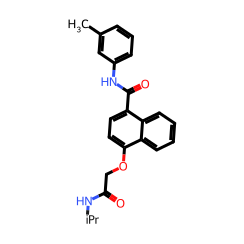 Cc1cccc(NC(=O)c2ccc(OCC(=O)NC(C)C)c3ccccc23)c1